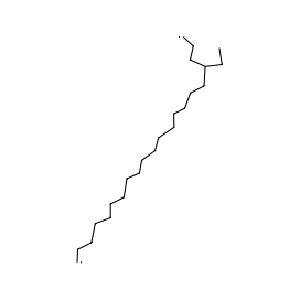 [CH2]CCCCCCCCCCCCCCCCC(CC)CC[CH2]